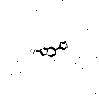 FC(F)(F)c1cn2ccc(-c3ccsc3)cc2n1